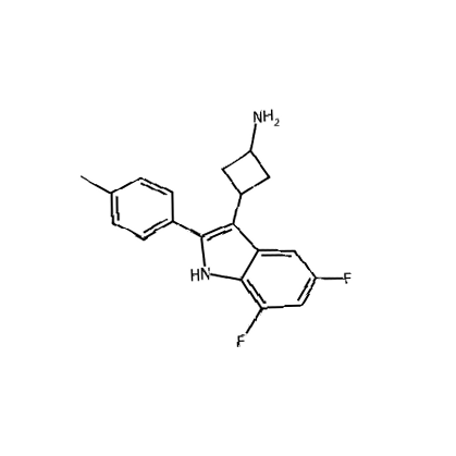 Cc1ccc(-c2[nH]c3c(F)cc(F)cc3c2C2CC(N)C2)cc1